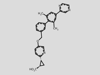 Cc1cc(-c2cnccn2)cc(C)c1-c1cccc(COc2ccc([C@@H]3C[C@H]3C(=O)O)nc2)c1